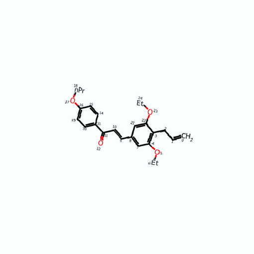 C=CCc1c(OCC)cc(C=CC(=O)c2ccc(OCCC)cc2)cc1OCC